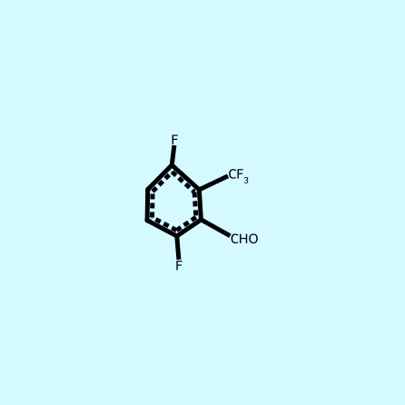 O=Cc1c(F)ccc(F)c1C(F)(F)F